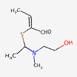 C/C=C(/C=O)SC(C)N(C)CCO